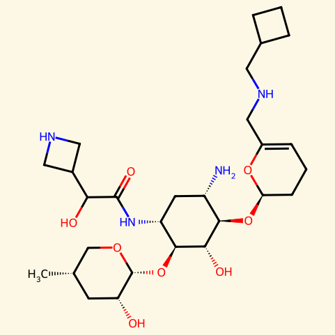 C[C@@H]1CO[C@H](O[C@@H]2[C@@H](O)[C@H](O[C@@H]3CCC=C(CNCC4CCC4)O3)[C@@H](N)C[C@H]2NC(=O)C(O)C2CNC2)[C@H](O)C1